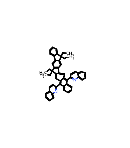 CCC1(CC)c2ccccc2-c2cc3c(cc21)-c1cc2c(-c4ccc5ccccc5n4)c4ccccc4c(-c4ccc5ccccc5n4)c2cc1C3(CC)CC